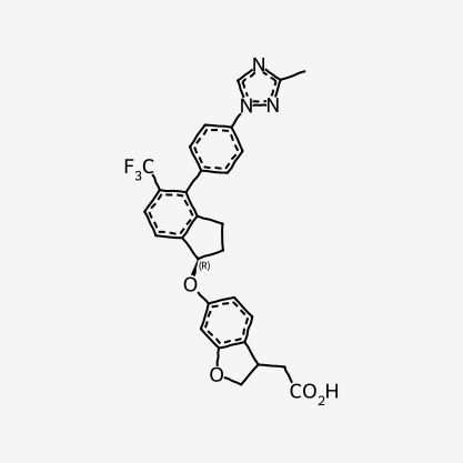 Cc1ncn(-c2ccc(-c3c(C(F)(F)F)ccc4c3CC[C@H]4Oc3ccc4c(c3)OCC4CC(=O)O)cc2)n1